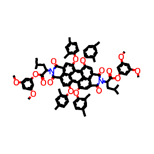 COc1cc(OC)cc(OC(=O)C(CC(C)C)N2C(=O)c3cc(Oc4ccc(C)cc4C)c4c5c(Oc6ccc(C)cc6C)cc6c7c(cc(Oc8ccc(C)cc8C)c(c8c(Oc9ccc(C)cc9C)cc(c3c48)C2=O)c75)C(=O)N(C(CC(C)C)C(=O)Oc2cc(OC)cc(OC)c2)C6=O)c1